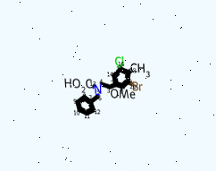 COc1c(CCN(Cc2ccccc2)C(=O)O)cc(Cl)c(C)c1Br